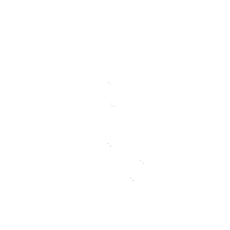 Cc1cc(F)c(C(=O)Nc2ccc(COC(C)C)cn2)cc1NC(=O)c1cnc(N)s1